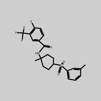 Cc1cccc(S(=O)(=O)C2CCC(C)(NC(=O)c3ccc(F)c(C(F)(F)F)c3)CC2)c1